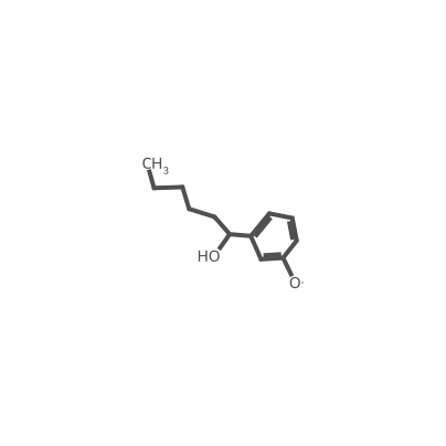 CCCCCC(O)c1cccc([O])c1